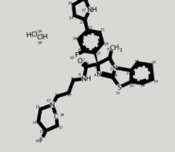 CC1N2C(=N[C@@]1(C(=O)NCCCN1CCC(F)CC1)c1ccc(C3CCCN3)cc1F)Sc1ccccc12.Cl.Cl